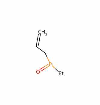 C=CC[P](=O)CC